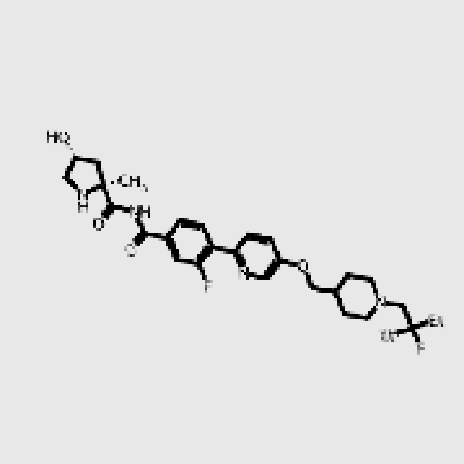 CCC(F)(CC)CN1CCC(COc2ccc(-c3ccc(C(=O)NC(=O)[C@]4(C)C[C@@H](O)CN4)cc3F)nc2)CC1